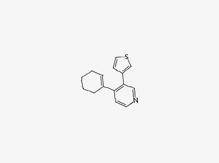 C1=C(c2ccncc2-c2ccsc2)CCCC1